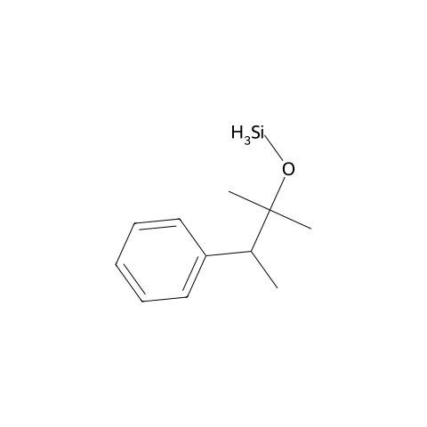 CC(c1ccccc1)C(C)(C)O[SiH3]